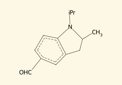 CC(C)N1c2ccc(C=O)cc2CC1C